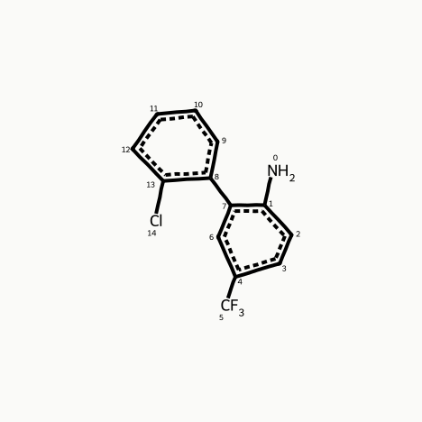 Nc1ccc(C(F)(F)F)cc1-c1ccccc1Cl